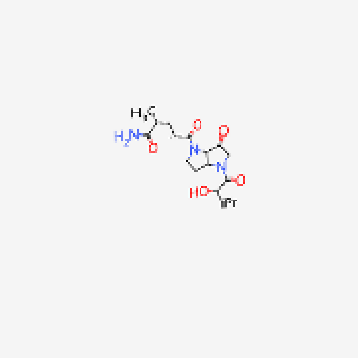 CC(C[CH]C(=O)N1CCC2C1C(=O)CN2C(=O)C(O)C(C)C)C(N)=O